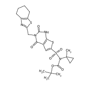 CC(C)(C)OC(=O)N(C1(C)CC1)S(=O)(=O)c1cc2c(=O)n(Cc3nc4c(s3)CCCC4)c(=O)[nH]c2s1